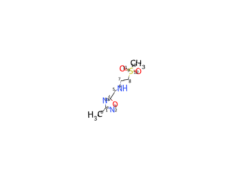 Cc1noc(CNCCS(C)(=O)=O)n1